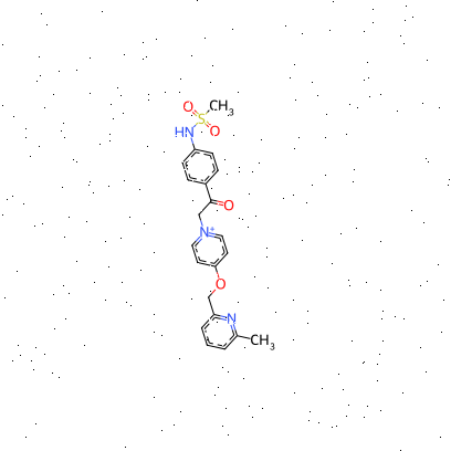 Cc1cccc(COc2cc[n+](CC(=O)c3ccc(NS(C)(=O)=O)cc3)cc2)n1